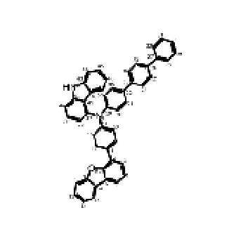 C1=C(c2cccc3c2oc2ccccc23)CCC(N(c2ccc(-c3ccc(-c4ccccc4)cc3)cc2)c2cccc3[nH]c4ccccc4c23)=C1